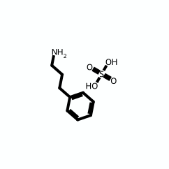 NCCCc1ccccc1.O=S(=O)(O)O